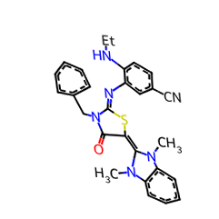 CCNc1ccc(C#N)cc1N=C1SC(=C2N(C)c3ccccc3N2C)C(=O)N1Cc1ccccc1